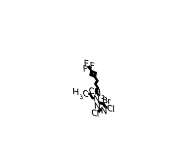 C=C(C)CN(CCCCCC12CC(C(F)(F)F)(C1)C2)c1nc(Cl)nc(Cl)c1Br